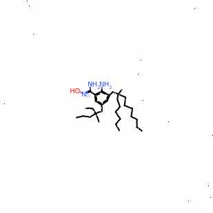 CCCCCCCC(C)(CCCCCC)Cc1cc(CC(C)(CC)CCC)cc(/C(N)=N/O)c1N